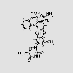 COB(Cc1ccccc1)c1ccc(Oc2c(C)cc(-n3nc(C)c(=O)[nH]c3=O)cc2C)cc1S(N)(=O)=O